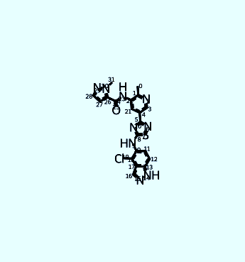 Cc1ncc(-c2nsc(Nc3ccc4[nH]ncc4c3Cl)n2)cc1NC(=O)c1ccnn1C